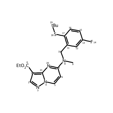 CCOC(=O)c1cnn2ccc(N(C)Cc3cc(F)ccc3SC(C)(C)C)nc12